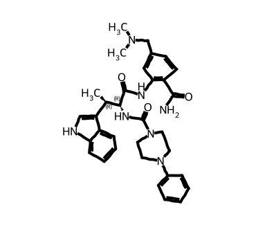 C[C@H](c1c[nH]c2ccccc12)[C@@H](NC(=O)N1CCN(c2ccccc2)CC1)C(=O)Nc1cc(CN(C)C)ccc1C(N)=O